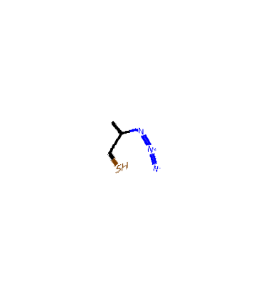 CC(CS)N=[N+]=[N-]